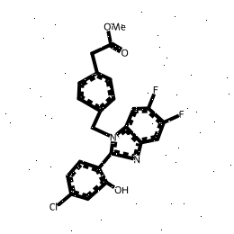 COC(=O)Cc1ccc(Cn2c(-c3ccc(Cl)cc3O)nc3cc(F)c(F)cc32)cc1